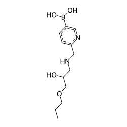 CCCOCC(O)CNCc1ccc(B(O)O)cn1